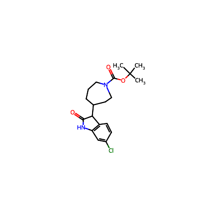 CC(C)(C)OC(=O)N1CCCC(C2C(=O)Nc3cc(Cl)ccc32)CC1